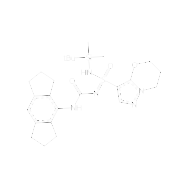 CC(C)(C)[Si](C)(C)NS(=O)(=NC(=O)Nc1c2c(cc3c1CCC3)CCC2)c1cnn2c1OCCC2